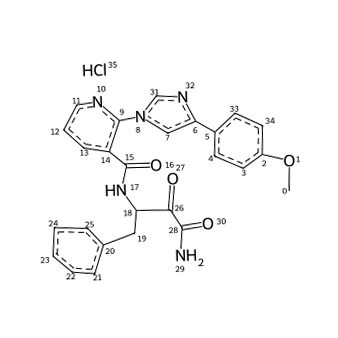 COc1ccc(-c2cn(-c3ncccc3C(=O)NC(Cc3ccccc3)C(=O)C(N)=O)cn2)cc1.Cl